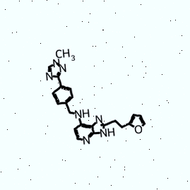 Cn1cnc(-c2ccc(CNc3ccnc4[nH]c(CCc5ccco5)nc34)cc2)n1